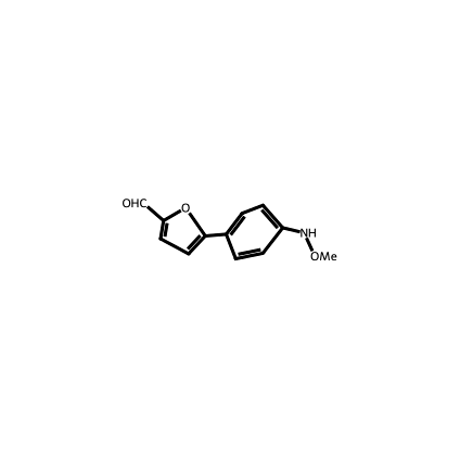 CONc1ccc(-c2ccc(C=O)o2)cc1